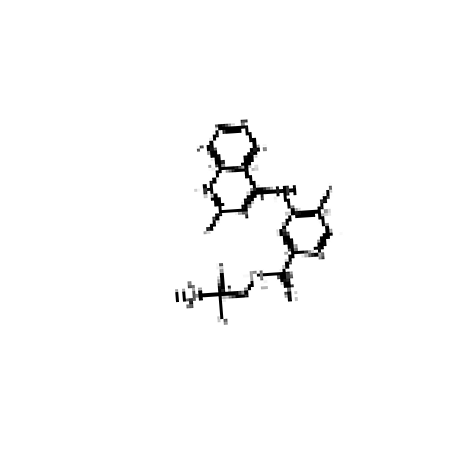 Cc1cc(Nc2cc(C(=O)NCC(C)(C)N)ccc2C)c2ccccc2n1